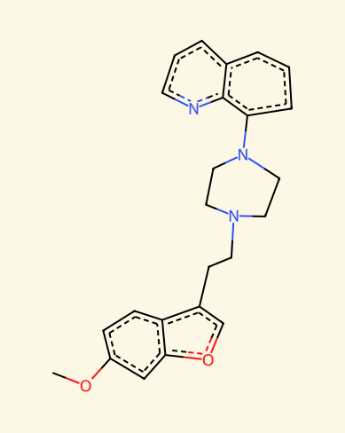 COc1ccc2c(CCN3CCN(c4cccc5cccnc45)CC3)coc2c1